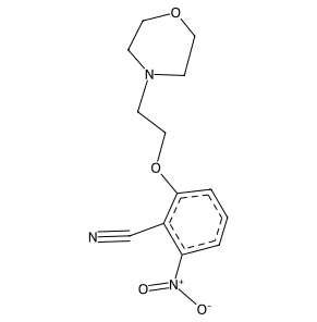 N#Cc1c(OCCN2CCOCC2)cccc1[N+](=O)[O-]